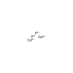 [Cd+2].[Ge+4].[P-3].[P-3]